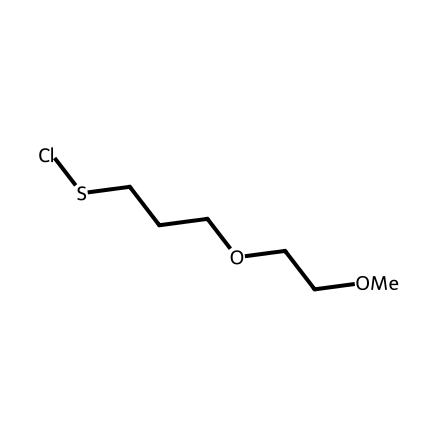 COCCOCCCSCl